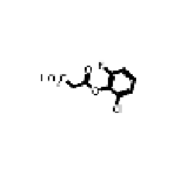 O=C(O)CC(=O)Oc1c(F)cccc1Cl